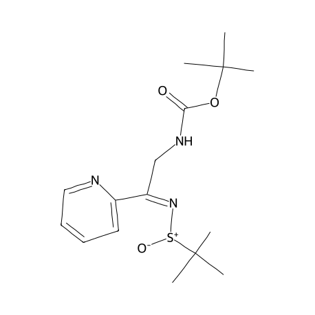 CC(C)(C)OC(=O)NC/C(=N/[S+]([O-])C(C)(C)C)c1ccccn1